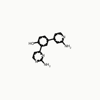 Nc1cc(-c2ccc(O)c(-c3ccnc(N)n3)c2)ccn1